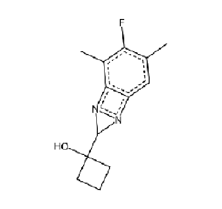 Cc1cc2c(c(C)c1F)n1n2C1C1(O)CCC1